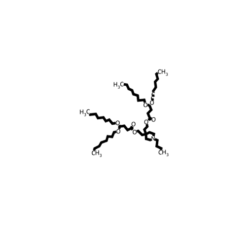 CCCCCCCCOC(CCC(=O)OCCC1(CCOC(=O)CCC(OCCCCCCCC)OCCCCCCCC)CCN(CCCC)CC1)OCCCCCCCC